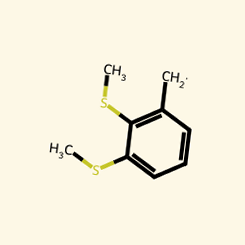 [CH2]c1cccc(SC)c1SC